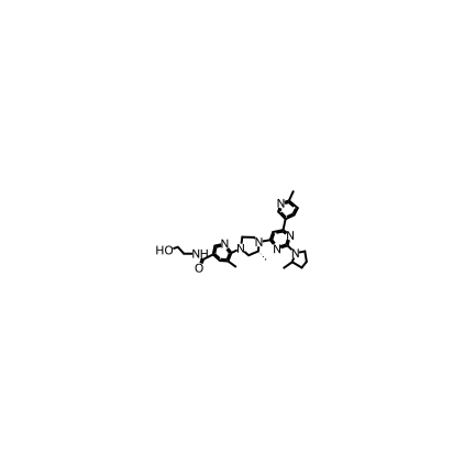 Cc1ccc(-c2cc(N3CCN(c4ncc(C(=O)NCCO)cc4C)C[C@H]3C)nc(N3CCCC3C)n2)cn1